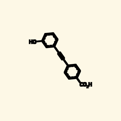 O=C(O)c1ccc(C#Cc2cccc(O)c2)cc1